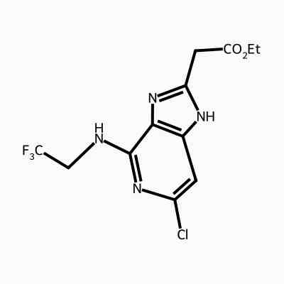 CCOC(=O)Cc1nc2c(NCC(F)(F)F)nc(Cl)cc2[nH]1